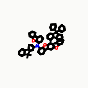 CC1(C)c2ccccc2-c2ccc(N(c3cccc4c3oc3ccccc34)c3cccc4c3oc3c(-c5cccc6c5-c5ccccc5C6(c5ccccc5)c5ccccc5)c5c(cc34)oc3ccccc35)cc21